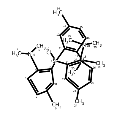 Cc1ccc(N(C)C)c([Si](Cl)(c2cc(C)ccc2N(C)C)c2cc(C)ccc2N(C)C)c1